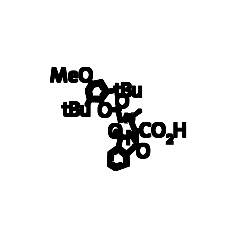 COc1cc(C(C)(C)C)c(OC(=O)C[C@@H](C)C(C(=O)O)N2C(=O)c3ccccc3C2=O)c(C(C)(C)C)c1